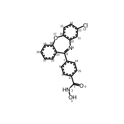 O=C(NO)c1ccc(C2=Nc3cc(Cl)ccc3Oc3ccccc32)cc1